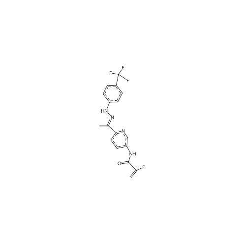 C=C(F)C(=O)Nc1ccc(/C(C)=N/Nc2ccc(C(F)(F)F)cc2)nc1